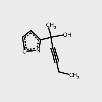 CCC#CC(C)(O)c1ccon1